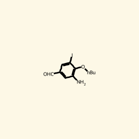 CCCCOc1c(N)cc(C=O)cc1I